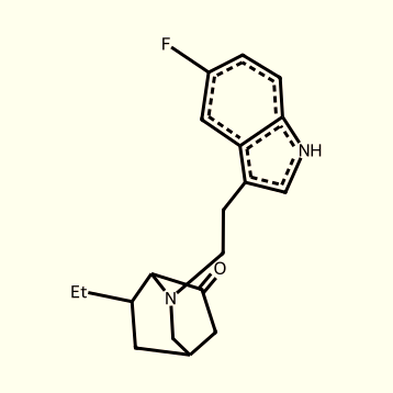 CCC1CC2CC(=O)C1N(CCc1c[nH]c3ccc(F)cc13)C2